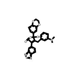 CN(C)c1cccc(CC2=C(c3ccc4nsnc4c3)C(=O)OC2(O)c2ccc3c(c2)OCCO3)c1